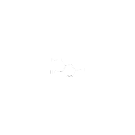 CCCC(C)c1cc(Cl)ccc1O